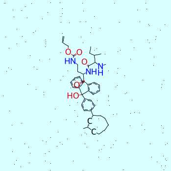 C=CCOC(=O)NCCC(NC(=O)C(NC)C(C)CC)C(=O)c1ccccc1C(O)(c1ccccc1)c1ccc(C2CCCCCCC(C)C2)cc1